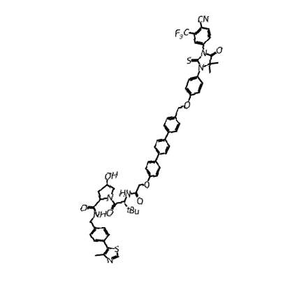 Cc1ncsc1-c1ccc(CNC(=O)C2C[C@@H](O)CN2C(=O)[C@@H](NC(=O)COc2ccc(-c3ccc(-c4ccc(COc5ccc(N6C(=S)N(c7ccc(C#N)c(C(F)(F)F)c7)C(=O)C6(C)C)cc5)cc4)cc3)cc2)C(C)(C)C)cc1